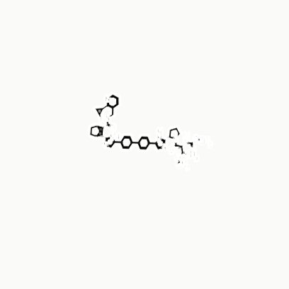 COC(=O)N[C@H](C(=O)N1CCC[C@H]1c1ncc(-c2ccc(-c3ccc(-c4cnc([C@H]5C6CCC(C6)[C@@H]5C(=O)NCc5cccnc5C5CC5)[nH]4)cc3)cc2)[nH]1)[C@@H](C)OC